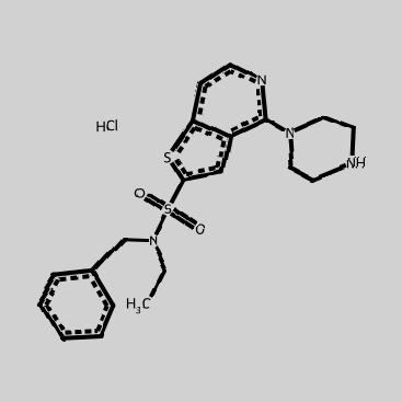 CCN(Cc1ccccc1)S(=O)(=O)c1cc2c(N3CCNCC3)nccc2s1.Cl